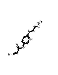 C=CC(=O)Nc1ccc(OCCOC(C)C)nc1